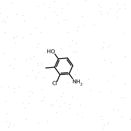 Cc1c(O)ccc(N)c1Cl